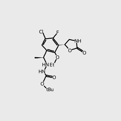 CCOc1c([C@H](C)NNC(=O)OC(C)(C)C)cc(Cl)c(F)c1[C@@H]1CNC(=O)O1